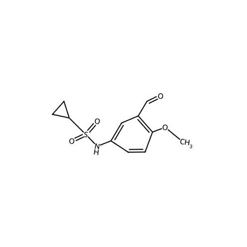 COc1ccc(NS(=O)(=O)C2CC2)cc1C=O